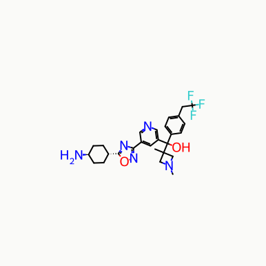 CN1CC(C)(C(O)(c2ccc(CC(F)(F)F)cc2)c2cncc(-c3noc([C@H]4CC[C@H](N)CC4)n3)c2)C1